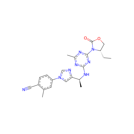 CC[C@H]1COC(=O)N1c1nc(C)nc(N[C@@H](C)c2cn(-c3ccc(C#N)c(C)c3)cn2)n1